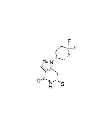 O=C1NC(=S)Cc2c1cnn2C1CCC(F)(F)CC1